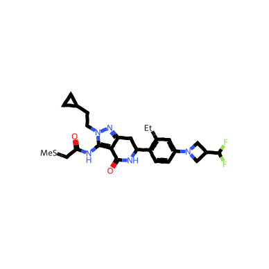 CCc1cc(N2CC(C(F)F)C2)ccc1C1Cc2nn(CCC3CC3)c(NC(=O)CSC)c2C(=O)N1